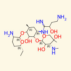 CC[C@@H]1CCC(N)[C@@H](OC2C(O)C(O[C@H]3OCC(C)(O)[C@H](NC)C3O)[C@H](NC(=N)C(O)CCN)C[C@@H]2C)O1